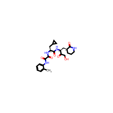 Cc1ccccc1NC(=O)C(=O)N[C@@H](CC1CC1)C(=O)N[C@@H](C[C@@H]1CCCNC1=O)C(=O)CO